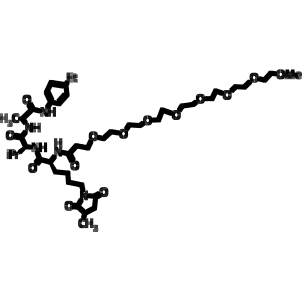 CCc1ccc(NC(=O)[C@H](C)NC(=O)[C@@H](NC(=O)[C@H](CCCCN2C(=O)CC(C)C2=O)NC(=O)CCOCCOCCOCCOCCOCCOCCOCCOC)C(C)C)cc1